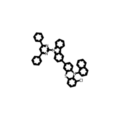 Clc1cccc2c1N(c1cccc3ccccc13)c1ccc(-c3ccc4c(c3)c3ccccc3n4-c3nc(-c4ccccc4)cc(-c4ccccc4)n3)cc1S2